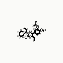 CCC1SC(=O)N(C(CC)N2CCCCC2)N=C1c1ccc(OC)c(OC(F)F)c1